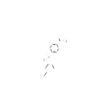 C=C/C(=C\C=C/C)NS(=O)(=O)c1ccc(C(N)=O)cc1